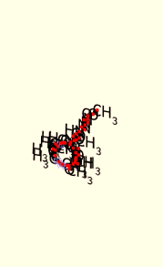 CCCOCCC(=O)N1CCN(c2ncc(CNC(=O)O[C@@H]3CC[C@@H](C[C@@H](N)[C@@H]4CC(=O)[C@H](C)/C=C(\C)[C@@H](O)[C@@H](OC)C(=O)[C@H](C)C[C@H](C)/C=C/C=C/C=C(\C)[C@@H](OC)C[C@@H]5CC[C@@H](C)[C@](O)(CC(=O)N6CCCC[C@H]6C(=O)O4)O5)C[C@H]3OC)cn2)CC1